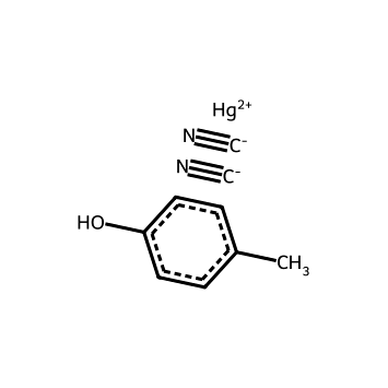 Cc1ccc(O)cc1.[C-]#N.[C-]#N.[Hg+2]